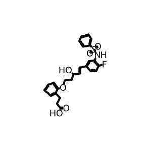 O=C(O)CCc1ccccc1OCC[C@@H](O)/C=C/c1ccc(F)c(NS(=O)(=O)c2ccccc2)c1